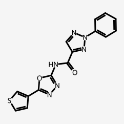 O=C(Nc1nnc(-c2ccsc2)o1)c1cnn(-c2ccccc2)n1